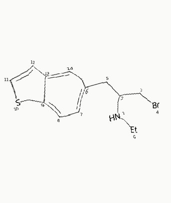 CCNC(CBr)Cc1ccc2sccc2c1